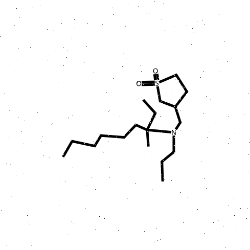 CCCCCCC(C)(CC)N(CCC)CC1CCS(=O)(=O)C1